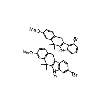 COc1ccc2c(c1)C(C)(C)c1[nH]c3cc(Br)ccc3c1C2.COc1ccc2c(c1)C(C)(C)c1[nH]c3cccc(Br)c3c1C2